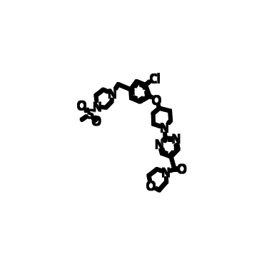 CS(=O)(=O)N1CCN(Cc2ccc(OC3CCN(c4ncc(C(=O)N5CCOCC5)cn4)CC3)c(Cl)c2)CC1